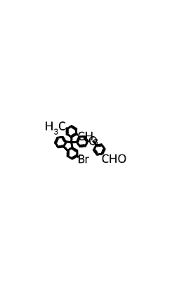 Cc1ccc(C)c(C2(c3ccc(Oc4ccc(C=O)cc4)cc3)c3ccccc3-c3ccc(Br)cc32)c1